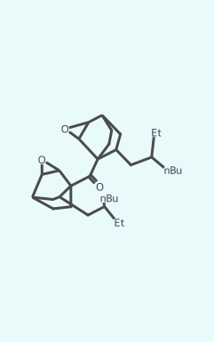 CCCCC(CC)CC1CC2CCC1(C(=O)C13CCC(CC1CC(CC)CCCC)C1OC13)C1OC21